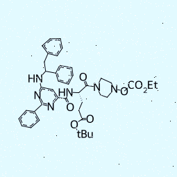 CCOC(=O)ON1CCN(C(=O)[C@H](CCC(=O)OC(C)(C)C)NC(=O)c2cc(NC(Cc3ccccc3)c3ccccc3)nc(-c3ccccc3)n2)CC1